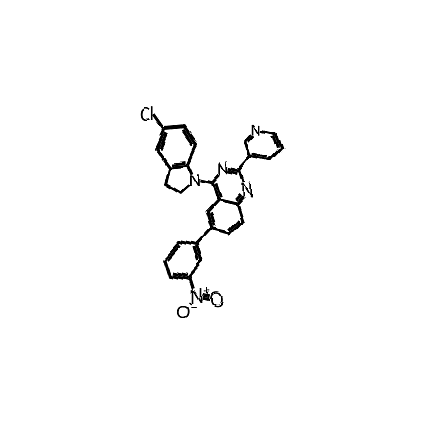 O=[N+]([O-])c1cccc(-c2ccc3nc(-c4cccnc4)nc(N4CCc5cc(Cl)ccc54)c3c2)c1